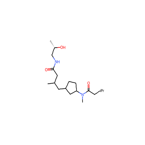 CC(C)CC(=O)N(C)C1CCC(CC(C)CC(=O)NC[C@H](C)O)C1